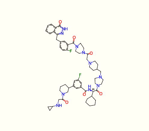 O=C(N[C@@H](C(=O)N1CCN(CC2CCN(CC(=O)N3CCN(C(=O)c4cc(Cc5n[nH]c(=O)c6ccccc56)ccc4F)CC3)CC2)CC1)C1CCCCC1)c1cc(F)cc(C2CCCN(C(=O)CNC3CC3)C2)c1